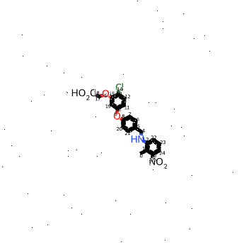 Cc1c(NCc2ccc(Oc3ccc(Cl)c(OCC(=O)O)c3)cc2)cccc1[N+](=O)[O-]